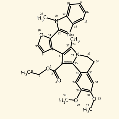 CCOC(=O)c1c(-c2ccoc2-c2nc3ccccc3n2C)c(C)n2c1-c1cc(OC)c(OC)cc1CC2